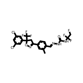 Cc1cc(C2=NOC(c3cc(Cl)cc(Cl)c3)(C(F)(F)F)C2)ccc1/C=N/NC(=O)NC(F)(F)CF